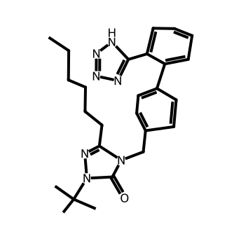 CCCCCCc1nn(C(C)(C)C)c(=O)n1Cc1ccc(-c2ccccc2-c2nnn[nH]2)cc1